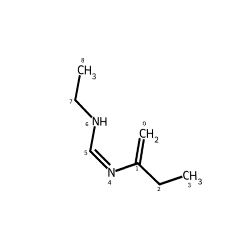 C=C(CC)/N=C\NCC